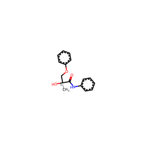 C[C@](O)(COc1ccccc1)C(=O)Nc1ccccc1